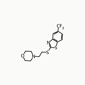 FC(F)(F)c1ccc2sc(SCCN3CCOCC3)nc2c1